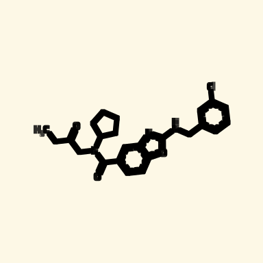 CCC(=O)CN(C(=O)c1ccc2oc(NCc3cccc(Cl)c3)nc2c1)C1CCCC1